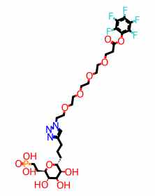 O=C(CCOCCOCCOCCOCCn1cc(CCC[C@H]2O[C@H](CCP(=O)(O)O)[C@@H](O)[C@H](O)[C@@H]2O)nn1)Oc1c(F)c(F)c(F)c(F)c1F